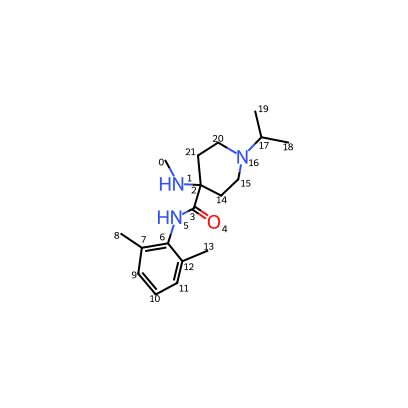 CNC1(C(=O)Nc2c(C)cccc2C)CCN(C(C)C)CC1